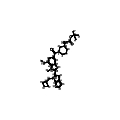 COc1cc(C(=O)N2CCCC(NC(=O)OC(C)(C)C)C2)cc2nc(-c3cc4ccsc4n3CC3CCC3)n(C)c12